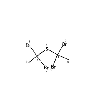 CC(Br)(Br)SC(C)(Br)Br